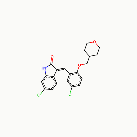 O=C1Nc2cc(Cl)ccc2/C1=C\c1cc(Cl)ccc1OCC1CCOCC1